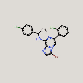 CC(Nc1nc(-c2ccccc2Cl)cn2c(Br)cnc12)c1ccc(Cl)cc1